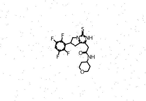 O=C(Cc1[nH]c(=S)n2c1CC(c1c(F)c(F)cc(F)c1F)C2)NC1CCOCC1